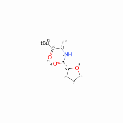 C[C@H](NC(=O)[C@H]1CCCO1)C(=O)C(C)(C)C